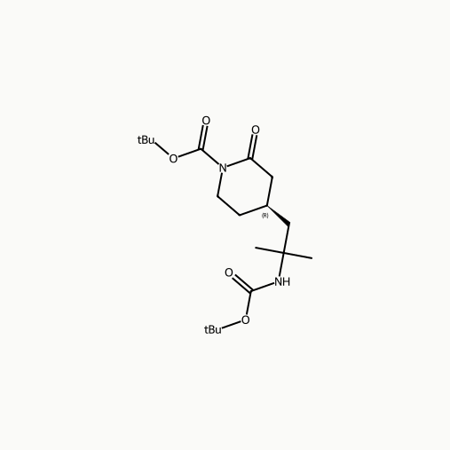 CC(C)(C[C@H]1CCN(C(=O)OC(C)(C)C)C(=O)C1)NC(=O)OC(C)(C)C